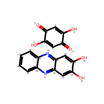 O=C1C=C(O)C(=O)C=C1O.Oc1cc2nc3ccccc3nc2cc1O